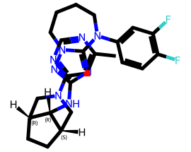 Cc1cc(N2C[C@H]3CC[C@@H](C2)[C@H]3Nc2nc3n(n2)CCCCN3c2ccc(F)c(F)c2)ncn1